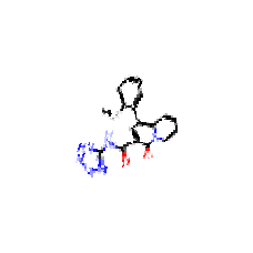 Cc1ccccc1-c1cc(C(=O)Nc2nnn[nH]2)c(=O)n2ccccc12